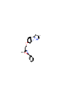 Cc1oc(-c2ccccc2)nc1CCOc1ccc(C[C@H]2C[C@H](C)CN2)cc1